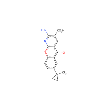 Nc1nc2oc3ccc(C4(C(F)(F)F)CC4)cc3c(=O)c2cc1C(=O)O